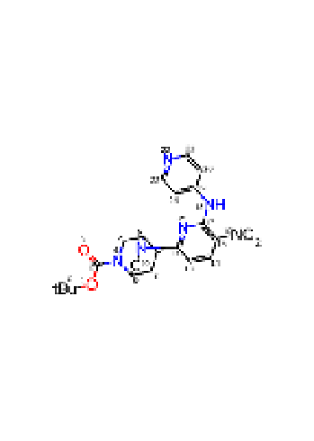 CC(C)(C)OC(=O)N1CC2CCC1CN2c1ccc([N+](=O)[O-])c(Nc2ccncc2)n1